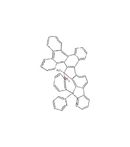 CC1(C)c2c(ccc3c2[Si](c2ccccc2)(c2ccccc2)c2ccccc2-3)-c2c1c1c3ccccc3c3ccccc3c1c1ccccc21